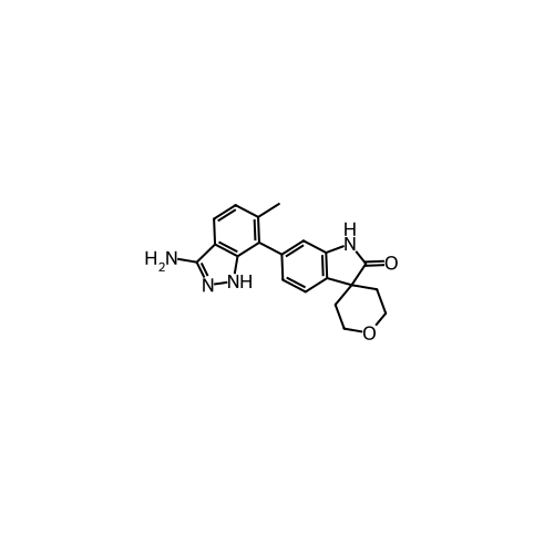 Cc1ccc2c(N)n[nH]c2c1-c1ccc2c(c1)NC(=O)C21CCOCC1